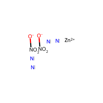 O=[N+]([O-])[O-].O=[N+]([O-])[O-].[N].[N].[N].[N].[Zn+2]